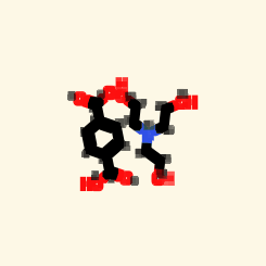 O=C(O)c1ccc(C(=O)O)cc1.OCCN(CCO)CCO